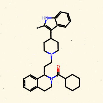 Cc1[nH]c2ccccc2c1C1CCN(CCC2c3ccccc3CCN2C(=O)C2CCCCC2)CC1